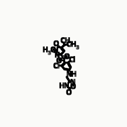 CC(C)c1cc(S(=O)(=O)c2c(Cl)cc(NCc3noc(=O)[nH]3)cc2Cl)nn(C)c1=O